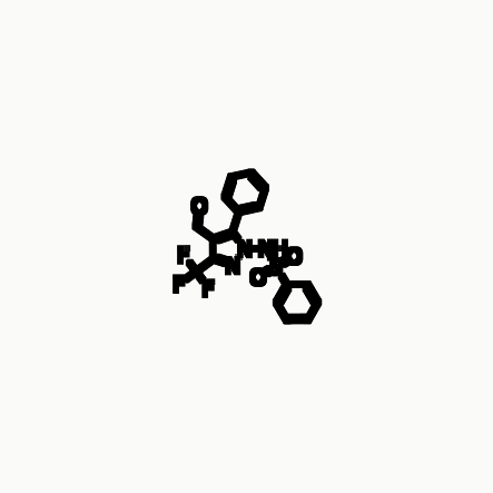 O=Cc1c(C(F)(F)F)nn(NS(=O)(=O)c2ccccc2)c1-c1ccccc1